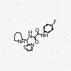 O=C(Nc1ccc(F)cc1)C(=O)NC(c1nccs1)C1CCCCN1